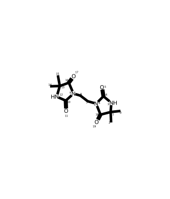 CC1(C)NC(=O)N(CCN2C(=O)NC(C)(C)C2=O)C1=O